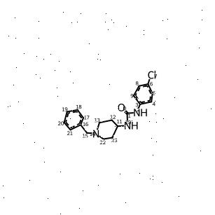 O=C(Nc1ccc(Cl)cc1)NC1CCN(Cc2ccccc2)CC1